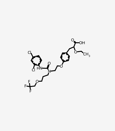 CCOC(Cc1ccc(OCCN(CCCOCC(F)(F)F)C(=O)Nc2ccc(Cl)cc2Cl)cc1)C(=O)O